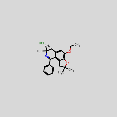 CCOc1cc2c(c3c1OC(C)(C)C3)C(c1ccccc1)=NC(C)(C)C2.Cl